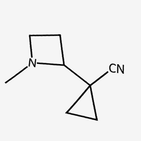 CN1CCC1C1(C#N)CC1